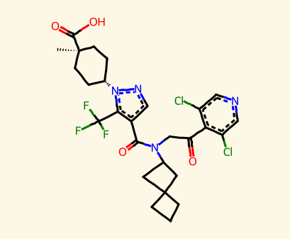 C[C@]1(C(=O)O)CC[C@H](n2ncc(C(=O)N(CC(=O)c3c(Cl)cncc3Cl)C3CC4(CCC4)C3)c2C(F)(F)F)CC1